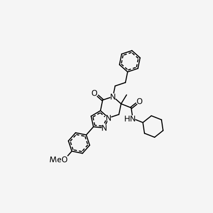 COc1ccc(-c2cc3n(n2)CC(C)(C(=O)NC2CCCCC2)N(CCc2ccccc2)C3=O)cc1